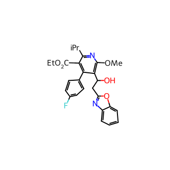 CCOC(=O)c1c(C(C)C)nc(OC)c(C(O)Cc2nc3ccccc3o2)c1-c1ccc(F)cc1